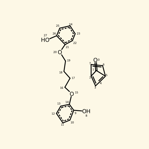 O=C1C2=CC=C1C=C2.Oc1ccccc1OCCCCOc1ccccc1O